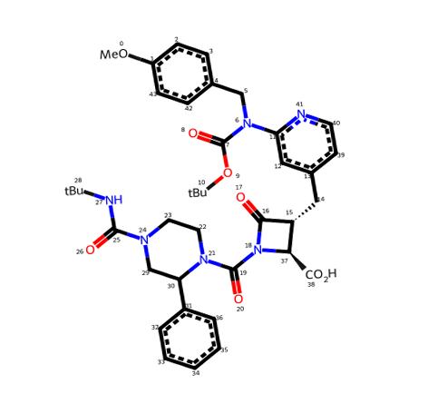 COc1ccc(CN(C(=O)OC(C)(C)C)c2cc(C[C@H]3C(=O)N(C(=O)N4CCN(C(=O)NC(C)(C)C)CC4c4ccccc4)[C@@H]3C(=O)O)ccn2)cc1